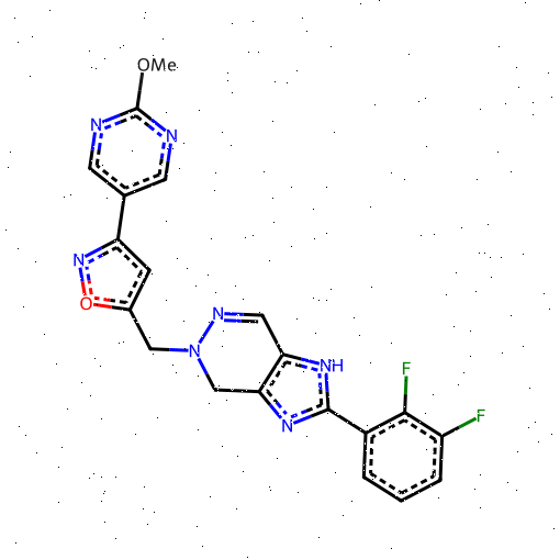 COc1ncc(-c2cc(CN3Cc4nc(-c5cccc(F)c5F)[nH]c4C=N3)on2)cn1